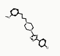 COc1cccc(CCCN2CCN(c3nc(-c4ccc(Cl)cc4)ns3)CC2)c1